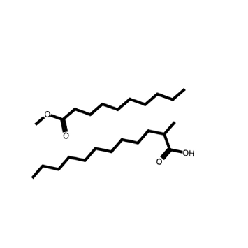 CCCCCCCCCC(=O)OC.CCCCCCCCCCC(C)C(=O)O